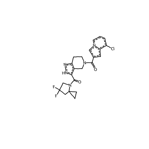 O=C(c1cc2c(Cl)cccn2c1)N1CCc2n[nH]c(C(=O)N3CC(F)(F)CC34CC4)c2C1